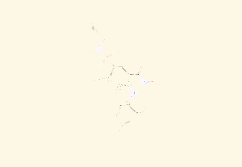 C#CCN(C)S(=O)(=O)c1cc(C(=O)NOC)c(Nc2ccc(I)cc2Cl)c(F)c1F